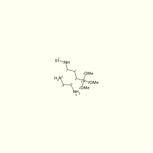 CCNCCC[Si](OC)(OC)OC.NCCN